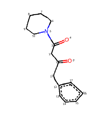 O=C(CC(=O)N1CCCCC1)Cc1ccccc1